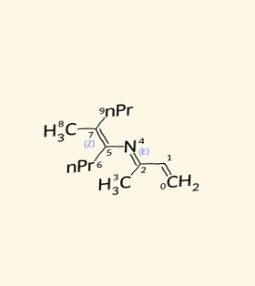 C=C/C(C)=N/C(CCC)=C(/C)CCC